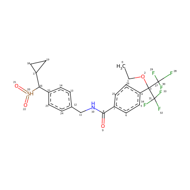 CCOC(c1ccc(C(=O)NCc2ccc(C(C3CC3)[SH](=O)=O)cc2)cc1)(C(F)(F)F)C(F)(F)F